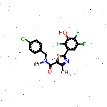 Cc1nc(-c2cc(F)c(F)c(O)c2F)sc1C(=O)N(Cc1ccc(Cl)cc1)C(C)C